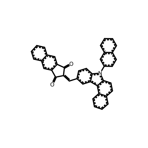 O=C1C(=Cc2ccc3c(c2)c2c4ccccc4ccc2n3-c2ccc3ccccc3c2)C(=O)c2cc3ccccc3cc21